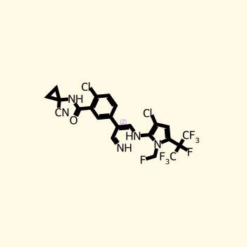 N#CC1(NC(=O)c2cc(/C(C=N)=C/Nc3c(Cl)cc(C(F)(C(F)(F)F)C(F)(F)F)n3CF)ccc2Cl)CC1